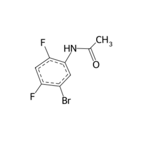 CC(=O)Nc1cc(Br)c(F)cc1F